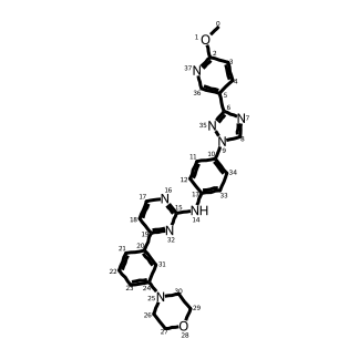 COc1ccc(-c2ncn(-c3ccc(Nc4nccc(-c5cccc(N6CCOCC6)c5)n4)cc3)n2)cn1